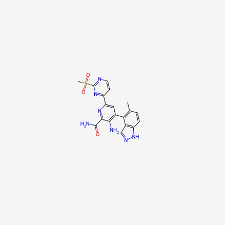 Cc1ccc2[nH]ncc2c1-c1cc(-c2ccnc(S(C)(=O)=O)n2)nc(C(N)=O)c1N